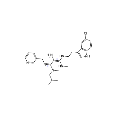 CN/C(NCCc1c[nH]c2ccc(Cl)cc12)=C(N)\C(=N/Cc1cccnc1)N(C)CC(C)C